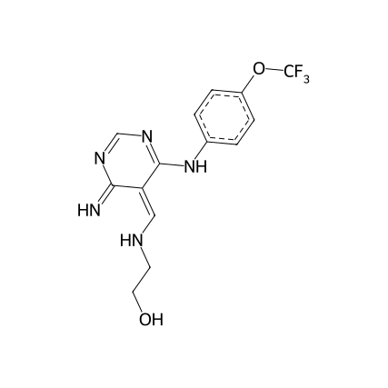 N=C1N=CN=C(Nc2ccc(OC(F)(F)F)cc2)/C1=C/NCCO